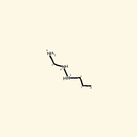 CCCNNCN